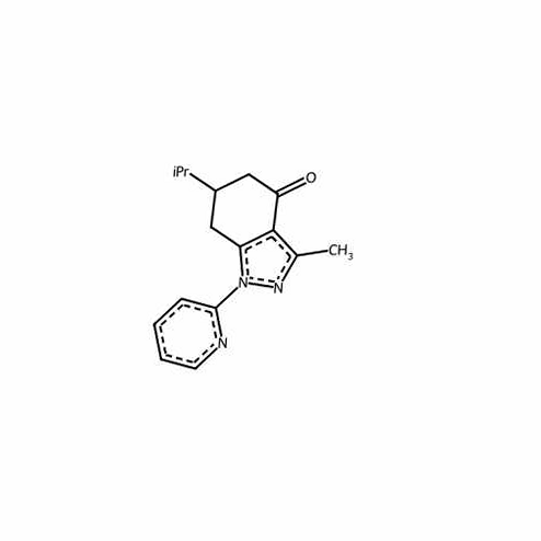 Cc1nn(-c2ccccn2)c2c1C(=O)CC(C(C)C)C2